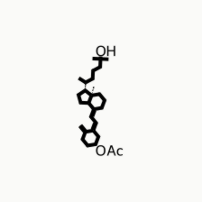 C=C1CC[C@H](OC(C)=O)C/C1=C/C=C1\CCC[C@@]2(C)C1CC[C@@H]2C(C)CCCC(C)(C)O